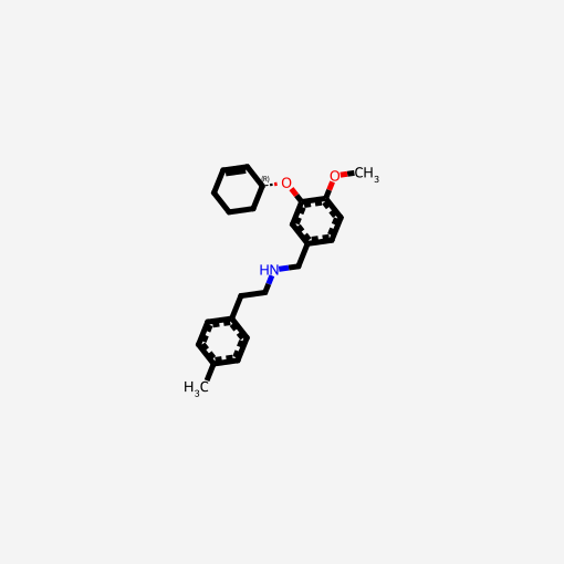 COc1ccc(CNCCc2ccc(C)cc2)cc1O[C@H]1C=CCCC1